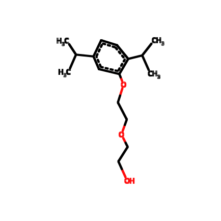 CC(C)c1ccc(C(C)C)c(OCCOCCO)c1